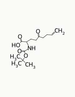 C=CCCC(=O)CCC(NC(=O)OC(C)(C)C)C(=O)O